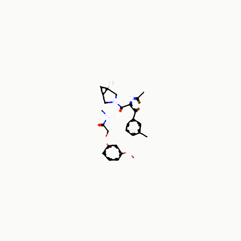 COc1cccc(OCC(=O)NC[C@@H]2C3C[C@@H]3CN2C(=O)c2nc(C)sc2-c2cccc(C)c2)c1